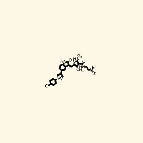 CCN(CC)CCNC(=O)c1c(C)[nH]c(/C=C2\C(=O)Nc3ccc(-c4cnn(-c5ccc(Cl)cc5)c4)cc32)c1C